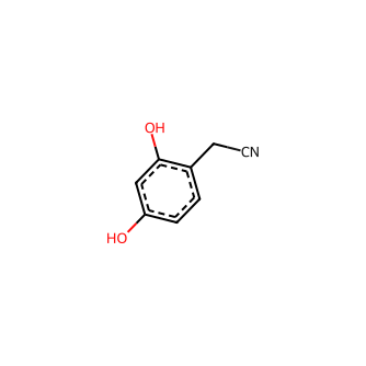 N#CCc1ccc(O)cc1O